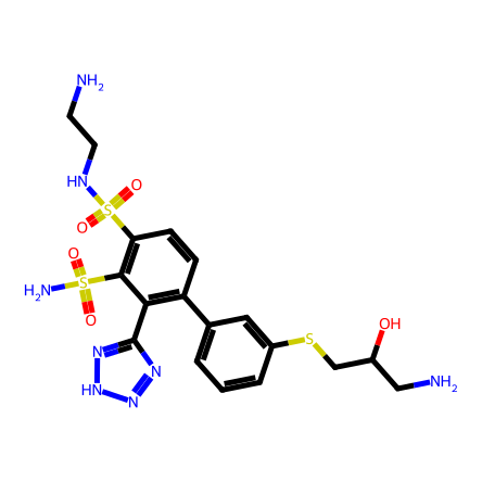 NCCNS(=O)(=O)c1ccc(-c2cccc(SCC(O)CN)c2)c(-c2nn[nH]n2)c1S(N)(=O)=O